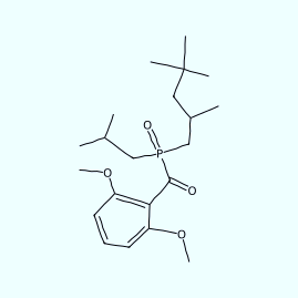 COc1cccc(OC)c1C(=O)P(=O)(CC(C)C)CC(C)CC(C)(C)C